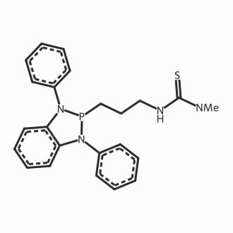 CNC(=S)NCCCP1N(c2ccccc2)c2ccccc2N1c1ccccc1